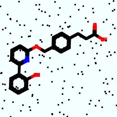 O=C(O)CCc1ccc(COc2cccc(-c3ccccc3O)n2)cc1